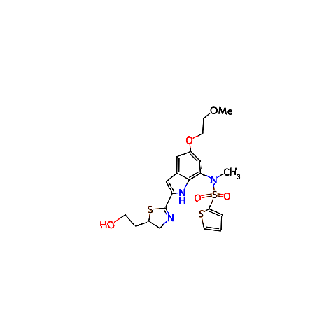 COCCOc1cc(N(C)S(=O)(=O)c2cccs2)c2[nH]c(C3=NCC(CCO)S3)cc2c1